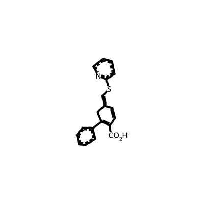 O=C(O)C1=C(c2ccccc2)CC(=CSc2ccccn2)C=C1